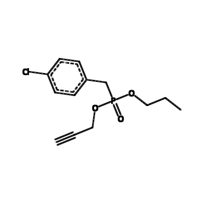 C#CCOP(=O)(Cc1ccc(Cl)cc1)OCCC